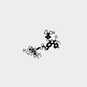 CC(C)c1nc(OC2CC(C(=O)O)C2)c2cc3c(cnn3C(=O)OCCOP(=O)(OC(C)(C)C)OC(C)(C)C)cc2c1-c1ccc(F)cc1